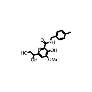 COc1cc(C(O)CO)nc(C(=O)NCc2ccc(F)cc2)c1O